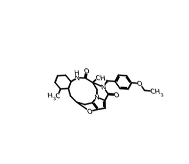 CCOc1ccc(CN2C(=O)c3cc4c5n3CC2(C)C(=O)NC2CCCC(C)C2CC(C5)O4)cc1